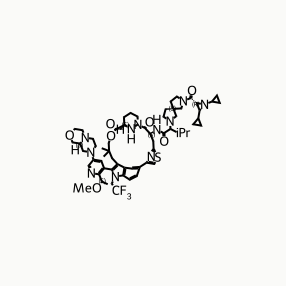 CO[C@@H](C)c1ncc(N2CCN3CCOC[C@@H]3C2)cc1-c1c2c3cc(ccc3n1CC(F)(F)F)-c1csc(n1)C[C@H](NC(=O)C(C(C)C)N1CC[C@]3(CCN(C(=O)[C@H]4C(C5CC5)N4C4CC4)C3)C1)C(=O)N1CCC[C@H](N1)C(=O)OCC(C)(C)C2